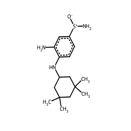 CC1(C)CC(Nc2ccc([S+](N)[O-])cc2N)CC(C)(C)C1